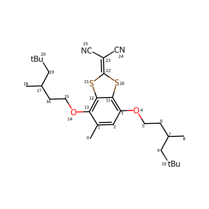 Cc1cc(OCCC(C)CC(C)(C)C)c2c(c1OCCC(C)CC(C)(C)C)SC(=C(C#N)C#N)S2